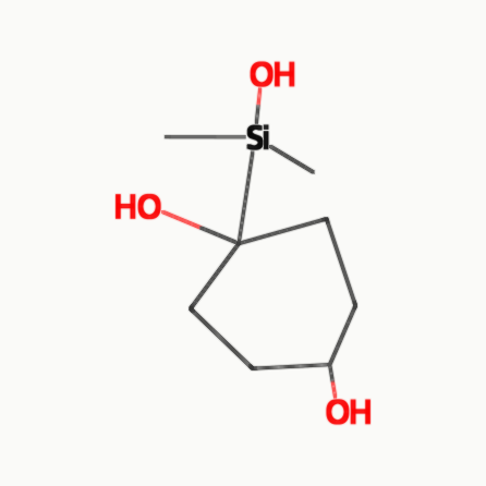 C[Si](C)(O)C1(O)CCC(O)CC1